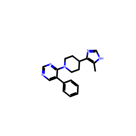 Cc1[nH]cnc1C1CCN(c2ncncc2-c2ccccc2)CC1